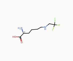 N[C@@H](CCCCNCC(F)(F)F)C(=O)O